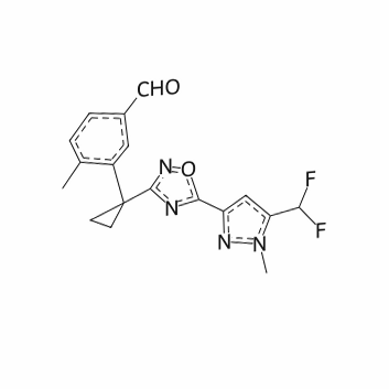 Cc1ccc(C=O)cc1C1(c2noc(-c3cc(C(F)F)n(C)n3)n2)CC1